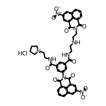 Cl.O=C(NCCNCCN1C(=O)c2cccc3cc([N+](=O)[O-])cc(c23)C1=O)c1cc(C(=O)NCCN2CCCC2)cc(N2C(=O)c3cccc4cc([N+](=O)[O-])cc(c34)C2=O)c1